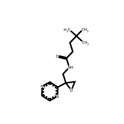 CC(C)(C)CCC(=O)NCC1(c2cnccn2)CO1